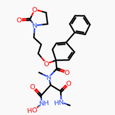 CNC(=O)C(C(=O)NO)N(C)C(=O)C1(OCCCN2CCOC2=O)C=CC(c2ccccc2)=CC1